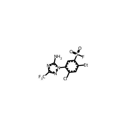 CCc1cc(Cl)c(-n2nc(C(F)(F)F)nc2N)cc1S(=O)(=O)F